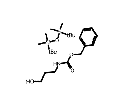 CC(C)(C)[Si](C)(C)O[Si](C)(C)C(C)(C)C.O=C(NCCCO)OCc1ccccc1